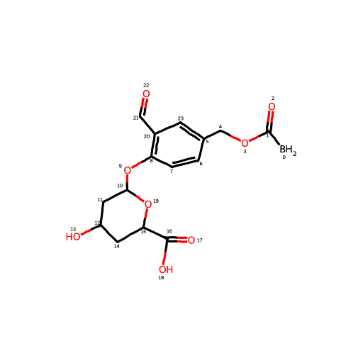 BC(=O)OCc1ccc(OC2CC(O)CC(C(=O)O)O2)c(C=O)c1